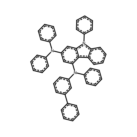 c1ccc(-c2cccc(N(c3ccccc3)c3cc(N(c4ccccc4)c4ccccc4)cc4c3c3ccccc3n4-c3ccccc3)c2)cc1